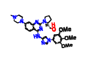 COc1cc(-n2cnc(Nc3nc(N4CCC[C@@H]4CO)nc4cc(N5CCN(C)CC5)ccc34)c2)cc(OC)c1OC